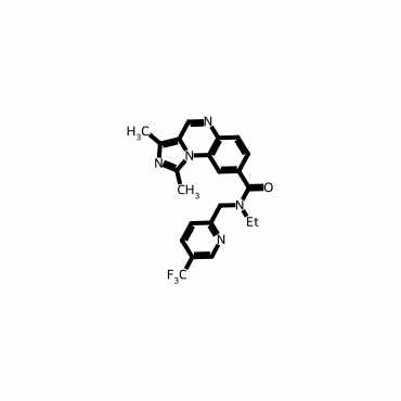 CCN(Cc1ccc(C(F)(F)F)cn1)C(=O)c1ccc2ncc3c(C)nc(C)n3c2c1